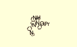 CC(C)Oc1ccccc1Nc1nc(-c2cccc(N3CCCC3)c2)cc2c1CNC=C2